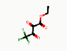 CCOC(=O)C(=O)C(=O)C(F)(F)F